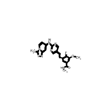 CNC(=O)c1cc(CCc2cnc(Nc3ccn4c(C)nnc4c3)nc2)c(F)c(OC)c1